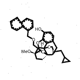 CO[C@]12CC[C@@]3(C[C@@H]1COCc1cccc4ccccc14)C1Cc4ccc(O)c5c4C3(CCN1CC1CC1)[C@H]2O5